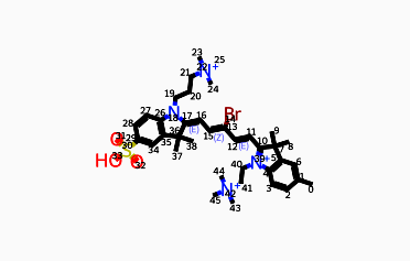 Cc1ccc2c(c1)C(C)(C)C(/C=C/C(Br)=C/C=C1/N(CCC[N+](C)(C)C)c3ccc(S(=O)(=O)O)cc3C1(C)C)=[N+]2CC[N+](C)(C)C